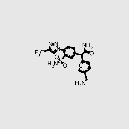 NCc1ccc(C(C(N)=O)c2ccc(-n3cc(C(F)(F)F)nn3)c(S(N)(=O)=O)c2)cc1